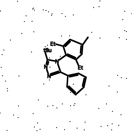 CCc1cc(C)cc(CC)c1-n1c(-c2ccccc2)nnc1C(C)(C)C